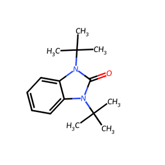 CC(C)(C)n1c(=O)n(C(C)(C)C)c2ccccc21